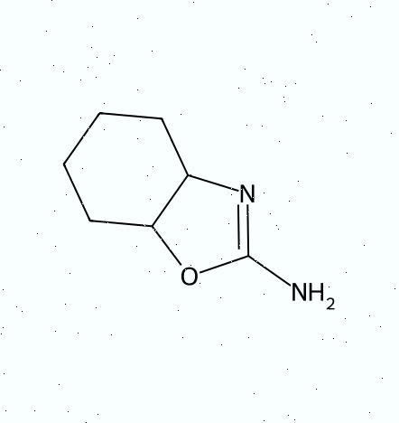 NC1=NC2CCCCC2O1